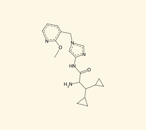 COc1ncccc1Cn1cnc(NC(=O)C(N)C(C2CC2)C2CC2)c1